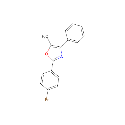 FC(F)(F)c1oc(-c2ccc(Br)cc2)nc1-c1ccccc1